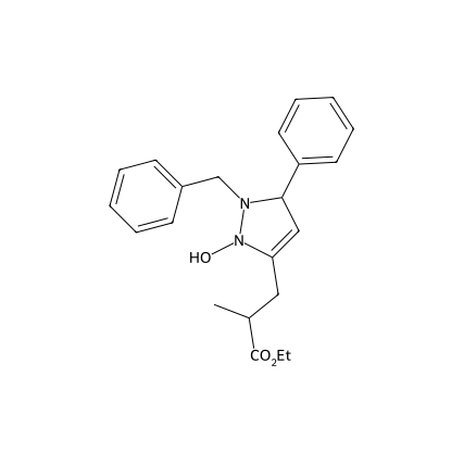 CCOC(=O)C(C)CC1=CC(c2ccccc2)N(Cc2ccccc2)N1O